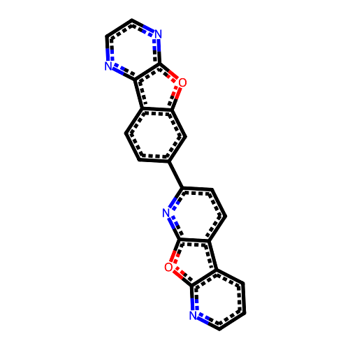 c1cnc2oc3nc(-c4ccc5c(c4)oc4nccnc45)ccc3c2c1